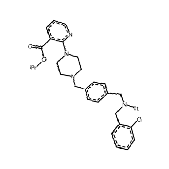 CCN(Cc1ccc(CN2CCN(c3ncccc3C(=O)OC(C)C)CC2)cc1)Cc1ccccc1Cl